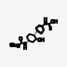 CC(C)(C)OC(=O)N[C@@H]1CC[C@H](c2ccc(NC(O)=S)cc2)[C@H](O)C1